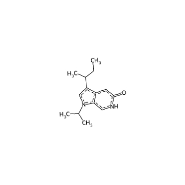 CCC(C)c1cn(C(C)C)c2c[nH]c(=O)cc12